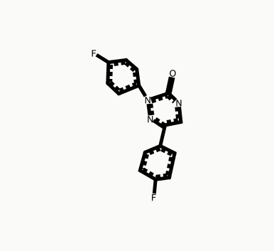 O=c1ncc(-c2ccc(F)cc2)nn1-c1ccc(F)cc1